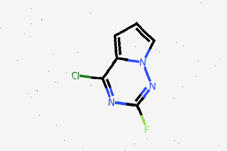 Fc1nc(Cl)c2cccn2n1